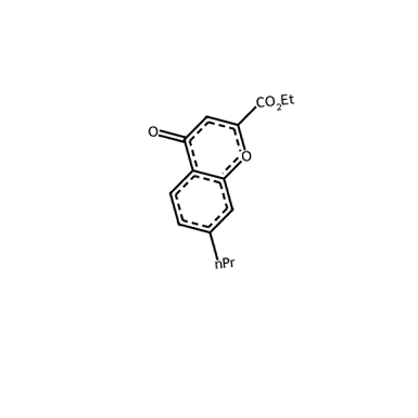 CCCc1ccc2c(=O)cc(C(=O)OCC)oc2c1